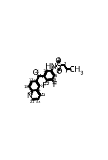 CCCS(=O)(=O)Nc1cc(F)c(F)c(C(=O)c2ccc3ncccc3c2)c1